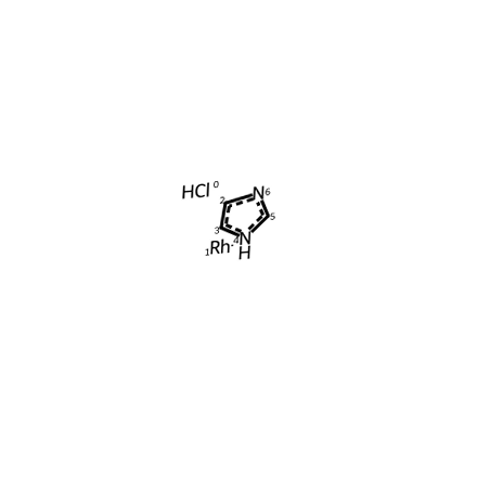 Cl.[Rh].c1c[nH]cn1